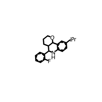 CC(C)c1ccc2c(c1)C1OCCCC1C(c1ccccc1F)N2